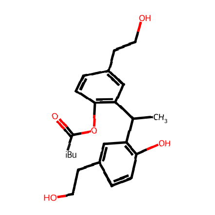 CCC(C)C(=O)Oc1ccc(CCO)cc1C(C)c1cc(CCO)ccc1O